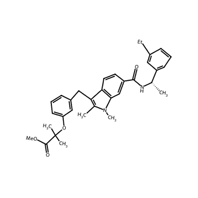 CCc1cccc([C@H](C)NC(=O)c2ccc3c(Cc4cccc(OC(C)(C)C(=O)OC)c4)c(C)n(C)c3c2)c1